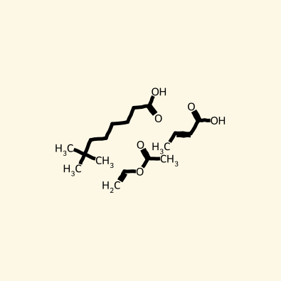 C=COC(C)=O.CC(C)(C)CCCCCC(=O)O.CC=CC(=O)O